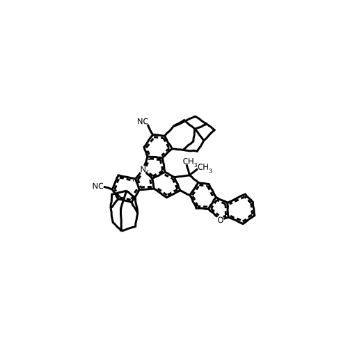 CC1(C)c2cc3c(cc2-c2cc4c5c6c(c(C#N)cc5n5c7cc(C#N)c8c(c7c(c21)c45)C1CC2CC4CC8CC42C1)C1CC2CC(C1)CC6C2)oc1ccccc13